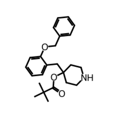 CC(C)(C)C(=O)OC1(Cc2ccccc2OCc2ccccc2)CCNCC1